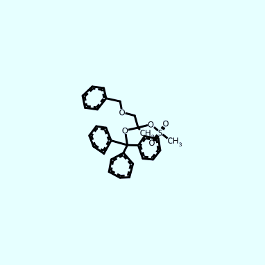 CC(COCc1ccccc1)(OC(c1ccccc1)(c1ccccc1)c1ccccc1)OS(C)(=O)=O